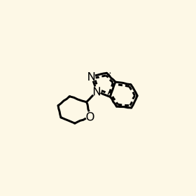 [c]1nn(C2CCCCO2)c2ccccc12